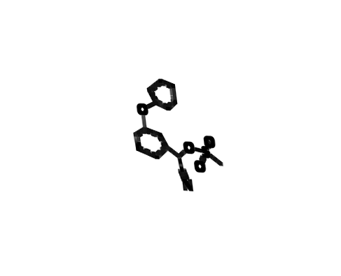 CS(=O)(=O)OC(C#N)c1cccc(Oc2ccccc2)c1